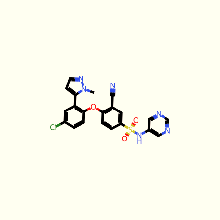 Cn1nccc1-c1cc(Cl)ccc1Oc1ccc(S(=O)(=O)Nc2cncnc2)cc1C#N